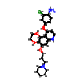 Nc1ccc(Oc2ccnc3cc(OCCCN4CCCCC4)c4c(c23)OCCO4)cc1Cl